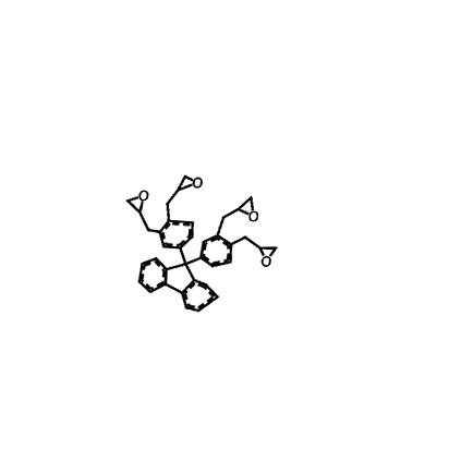 c1ccc2c(c1)-c1ccccc1C2(c1ccc(CC2CO2)c(CC2CO2)c1)c1ccc(CC2CO2)c(CC2CO2)c1